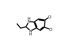 CCC1Nc2cc(Cl)c(Cl)cc2N1